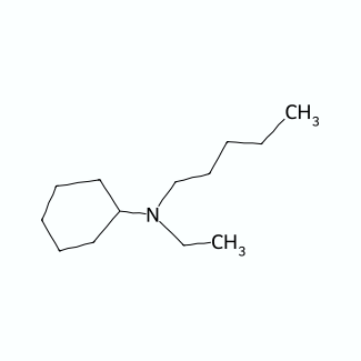 CCCCCN(CC)C1CCCCC1